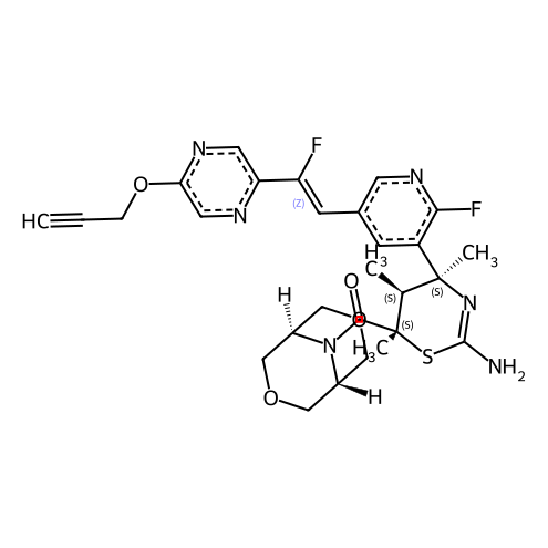 C#CCOc1cnc(/C(F)=C/c2cnc(F)c([C@@]3(C)N=C(N)S[C@](C)(C(=O)N4[C@H]5COC[C@H]4COC5)[C@H]3C)c2)cn1